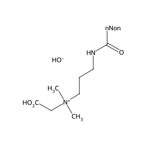 CCCCCCCCCC(=O)NCCC[N+](C)(C)CC(=O)O.[OH-]